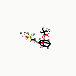 CCC(C)(C)C(=O)OC12CC3CC(CC(OCCS(=O)(=O)NC(F)(F)F)(C3)C1)C2